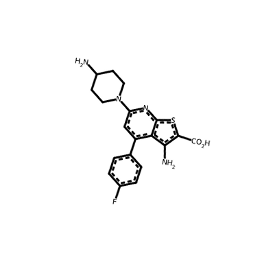 Nc1c(C(=O)O)sc2nc(N3CCC(N)CC3)cc(-c3ccc(F)cc3)c12